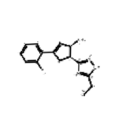 C[C@@H]1C=C(c2ccccc2F)C[C@@H]1c1noc(CCl)n1